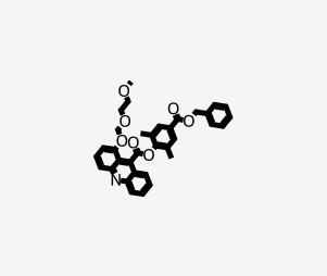 COCCOCOc1cccc2nc3ccccc3c(C(=O)Oc3c(C)cc(C(=O)OCc4ccccc4)cc3C)c12